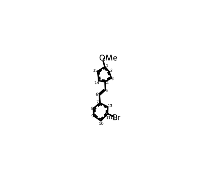 COc1ccc(/C=C/c2cccc(Br)c2)cc1